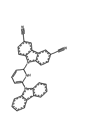 N#Cc1ccc2c(c1)c1cc(C#N)ccc1n2C1C=CC=C(n2c3ccccc3c3ccccc32)N1